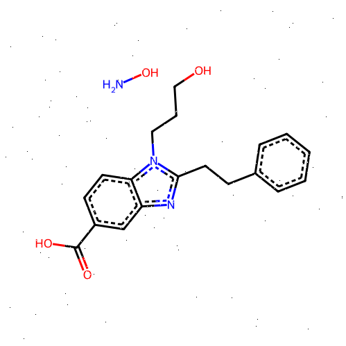 NO.O=C(O)c1ccc2c(c1)nc(CCc1ccccc1)n2CCCO